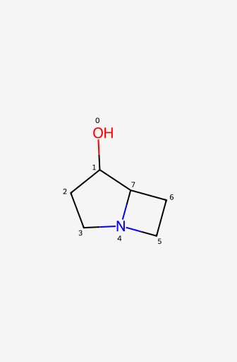 OC1CCN2CCC12